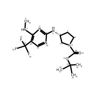 CNc1nc(N[C@@H]2CCN(C(=O)OC(C)(C)C)C2)ncc1C(F)(F)F